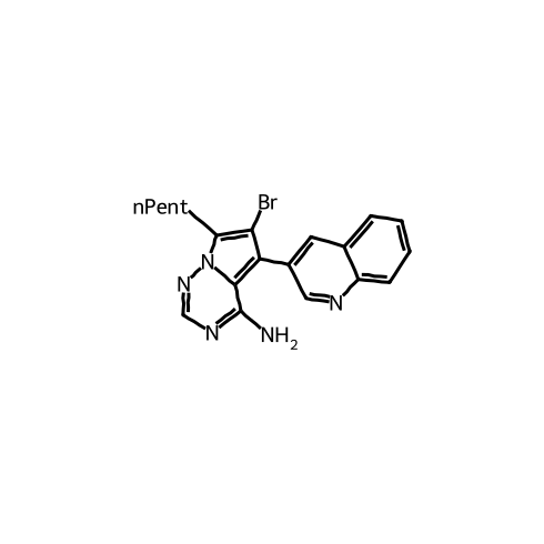 CCCCCc1c(Br)c(-c2cnc3ccccc3c2)c2c(N)ncnn12